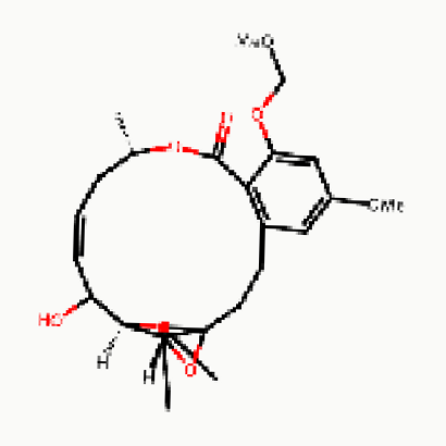 COCOc1cc(OC)cc2c1C(=O)O[C@@H](C)C/C=C\C(O)[C@H]1OC(C)(C)C3(CC2)O[C@H]13